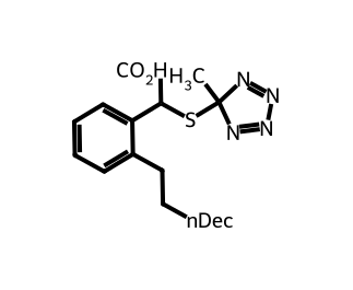 CCCCCCCCCCCCc1ccccc1C(SC1(C)N=NN=N1)C(=O)O